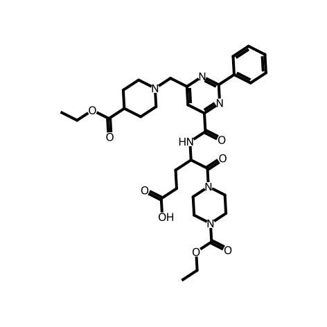 CCOC(=O)C1CCN(Cc2cc(C(=O)NC(CCC(=O)O)C(=O)N3CCN(C(=O)OCC)CC3)nc(-c3ccccc3)n2)CC1